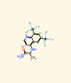 CC(Nc1ccnc2c(C(F)(F)F)cc(C(F)(F)F)cc12)C(N)=O